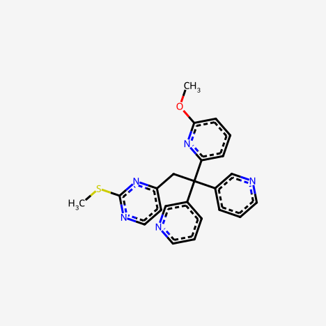 COc1cccc(C(Cc2ccnc(SC)n2)(c2cccnc2)c2cccnc2)n1